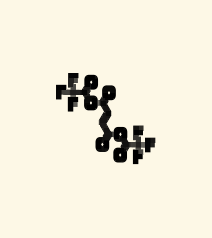 O=C(/C=C/C(=O)OC(=O)C(F)(F)F)OC(=O)C(F)(F)F